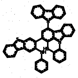 B1c2ccccc2-n2c3ccccc3c3c(-n4c5ccccc5c5ccccc54)cc(-c4cc5sc6ccccc6c5cc4Nc4ccccc4)c1c32